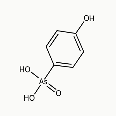 O=[As](O)(O)c1ccc(O)cc1